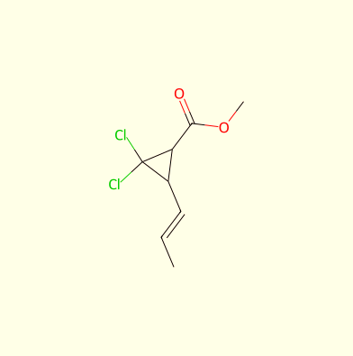 CC=CC1C(C(=O)OC)C1(Cl)Cl